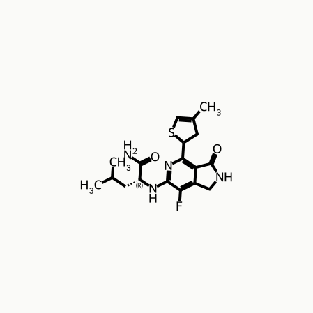 CC1=CSC(c2nc(N[C@H](CC(C)C)C(N)=O)c(F)c3c2C(=O)NC3)C1